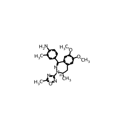 COc1cc2c(cc1OC)C(c1ccc(N)c(C)c1)=NN(c1noc(C)n1)[C@H](C)C2